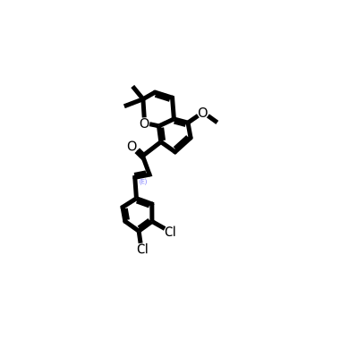 COc1ccc(C(=O)/C=C/c2ccc(Cl)c(Cl)c2)c2c1C=CC(C)(C)O2